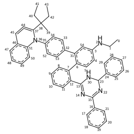 CCNc1ccc(-c2ccccc2C2=NC(c3ccccc3)=NC(c3ccccc3)N2)c(-c2ccc(N3C(C(C)(CC)CC)=C=Cc4ccccc43)cc2)c1